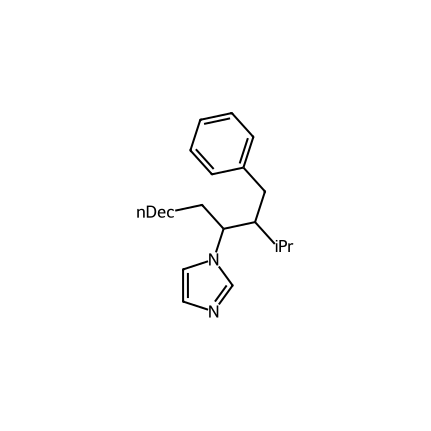 CCCCCCCCCCCC(C(Cc1ccccc1)C(C)C)n1ccnc1